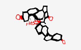 CC(C(=O)[C@@]1(O)CCC2C3CCC4=CC(=O)CCC4C3CCC21)C1C(=O)C2CCC3C4CCC5=CC(=O)CC[C@]5(C)C4[C@@H](O)C[C@]231